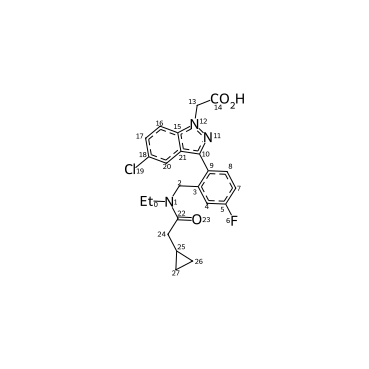 CCN(Cc1cc(F)ccc1-c1nn(CC(=O)O)c2ccc(Cl)cc12)C(=O)CC1CC1